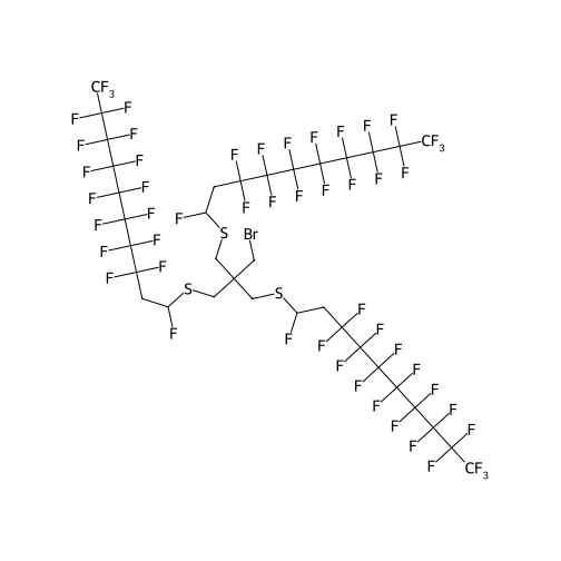 FC(CC(F)(F)C(F)(F)C(F)(F)C(F)(F)C(F)(F)C(F)(F)C(F)(F)C(F)(F)F)SCC(CBr)(CSC(F)CC(F)(F)C(F)(F)C(F)(F)C(F)(F)C(F)(F)C(F)(F)C(F)(F)C(F)(F)F)CSC(F)CC(F)(F)C(F)(F)C(F)(F)C(F)(F)C(F)(F)C(F)(F)C(F)(F)C(F)(F)F